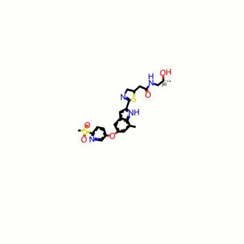 Cc1cc(Oc2ccc(S(C)(=O)=O)nc2)cc2cc(C3=NCC(CC(=O)NC[C@@H](C)O)S3)[nH]c12